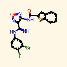 N=C(Nc1ccc(F)c(Br)c1)c1nonc1NC(=O)c1cc2ccccc2s1